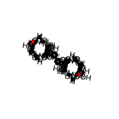 CC(C)C[C@@H]1NC(=O)[C@H]2CCCNN2C(=O)[C@H](C(C)C)OC(=O)[C@@H](C(C)C)NC(=O)[C@@H]2C[C@@]3(O)c4cc(-c5ccc6c(c5)[C@@]5(O)C[C@@H]7C(=O)N[C@@H](C(C)C)C(=O)O[C@H](C(C)C)C(=O)N8NC[C@@H](O)C[C@H]8C(=O)N[C@H](CC(C)C)C(=O)N[C@H]([C@H](C)O)C(=O)N7[C@H]5N6)ccc4N[C@H]3N2C(=O)[C@@H]([C@H](C)O)NC1=O